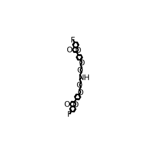 O=c1cc(-c2ccc(OCCOCCNCCOCCOc3ccc(-c4cc(=O)c5cc(F)ccc5o4)cc3)cc2)oc2ccc(F)cc12